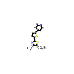 CCOC(=O)c1sc(-c2ccc(-c3ccncc3)s2)nc1C